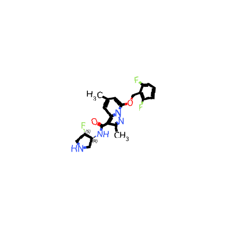 Cc1cc(OCc2c(F)cccc2F)n2nc(C)c(C(=O)N[C@@H]3CNC[C@@H]3F)c2c1